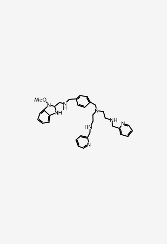 CON1c2ccccc2NC1CNCc1ccc(CN(CCNCc2ccccn2)CCNCc2ccccn2)cc1